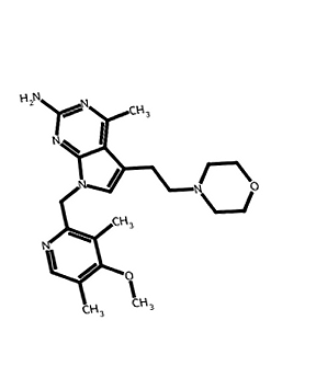 COc1c(C)cnc(Cn2cc(CCN3CCOCC3)c3c(C)nc(N)nc32)c1C